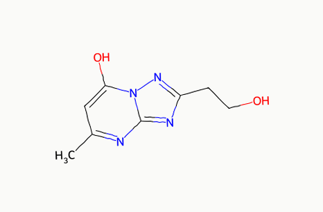 Cc1cc(O)n2nc(CCO)nc2n1